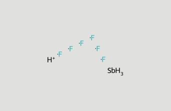 [F].[F].[F].[F].[F].[F].[H+].[SbH3]